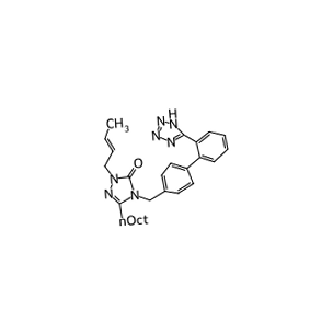 CC=CCn1nc(CCCCCCCC)n(Cc2ccc(-c3ccccc3-c3nnn[nH]3)cc2)c1=O